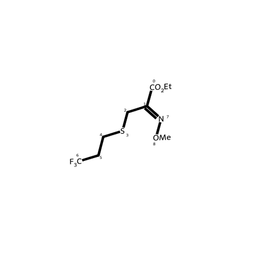 CCOC(=O)C(CSCCC(F)(F)F)=NOC